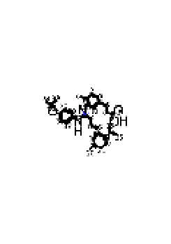 Cc1ccc(CCC(=O)O)cc1/N=C(\CCC[C@@H]1C[C@H](C)CC[C@H]1C(C)C)Nc1ccc(OC(C)C)cc1